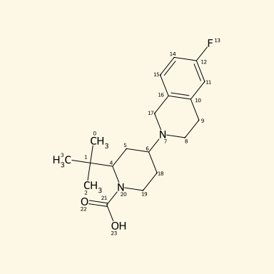 CC(C)(C)C1CC(N2CCc3cc(F)ccc3C2)CCN1C(=O)O